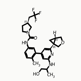 Cc1ccc(NC(=O)N2CC[C@@H](CC(F)(F)F)C2)cc1-c1cc(NC(C)CO)nc([C@]23COC[C@H]2C3)c1